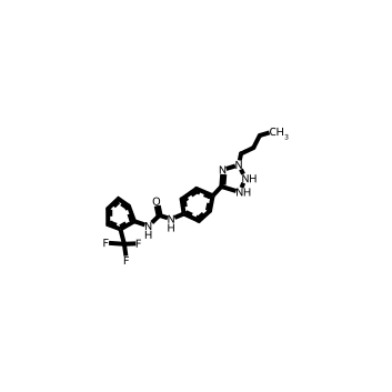 CCCCN1N=C(c2ccc(NC(=O)Nc3ccccc3C(F)(F)F)cc2)NN1